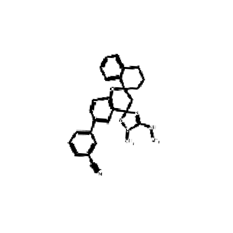 CNC1=NC2(CC3(CCCc4ccccc43)Oc3ccc(-c4cccc(C#N)c4)cc32)ON1C